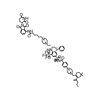 C=C(CCC)C1=C(CN2CCN(c3ccc(C(=O)NS(=O)(=O)c4ccc(N[C@H](CCN5CCN(CCCCCC(=O)Nc6cccc7c6C(=O)N(C6CCC(=O)NC6=O)C7=O)CC5)CSc5ccccc5)c(S(=O)(=O)C(F)(F)F)c4)cc3)CC2)CCC(C)(C)C1